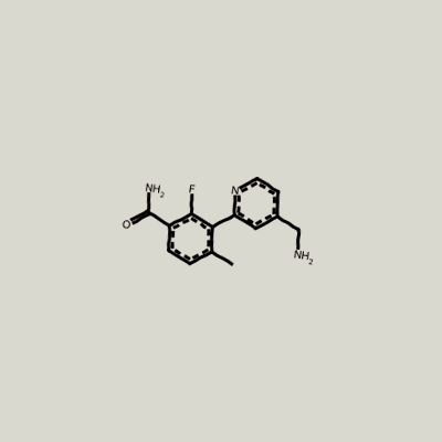 Cc1ccc(C(N)=O)c(F)c1-c1cc(CN)ccn1